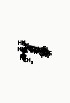 Cn1cc(-c2c[nH]c(/C(=N\C=N)N3CCN(c4ncc(C(C)(C)c5c(F)cc(F)cc5F)cn4)CC3)c2)cn1